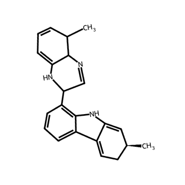 CC1C=CC=C2NC(c3cccc4c5c([nH]c34)=C[C@@H](C)CC=5)C=NC21